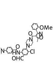 COc1ccccc1-c1noc(C)c1C(=O)N1CCN(c2cc(NC(=O)c3ccc(N(C)C)cc3)c(C=O)cc2Cl)CC1